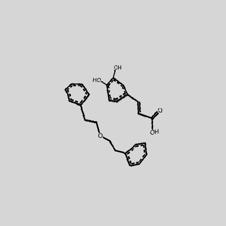 O=C(O)/C=C/c1ccc(O)c(O)c1.c1ccc(CCOCCc2ccccc2)cc1